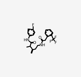 C=C(CCNC(=O)Cc1ccccc1C(F)(F)F)C(C)C(=O)Nc1ccc(F)cc1